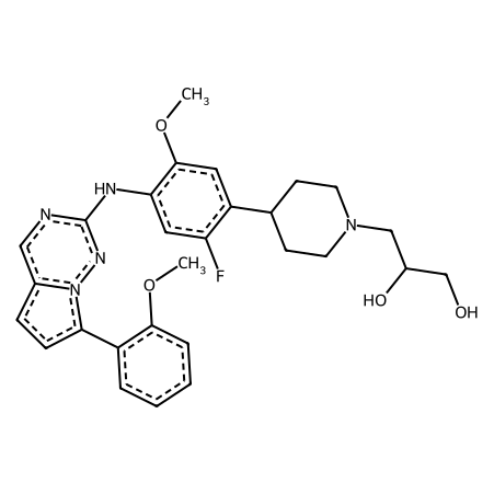 COc1cc(C2CCN(CC(O)CO)CC2)c(F)cc1Nc1ncc2ccc(-c3ccccc3OC)n2n1